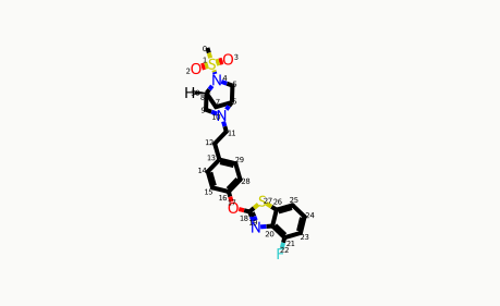 CS(=O)(=O)N1CC2C[C@@H]1CN2CCc1ccc(Oc2nc3c(F)cccc3s2)cc1